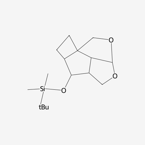 CC(C)(C)[Si](C)(C)OC1C2COC3OCC4(CCC14)C32